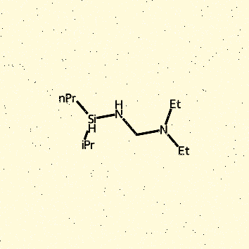 CCC[SiH](NCN(CC)CC)C(C)C